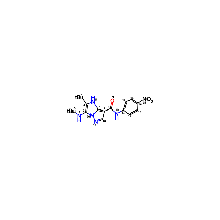 CC(C)(C)Nc1c(C(C)(C)C)[nH]c2c(C(=O)Nc3ccc([N+](=O)[O-])cc3)cnn12